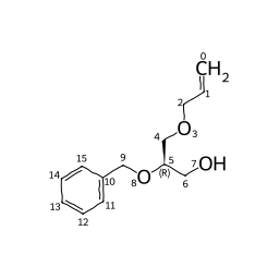 C=CCOC[C@@H](CO)OCc1ccccc1